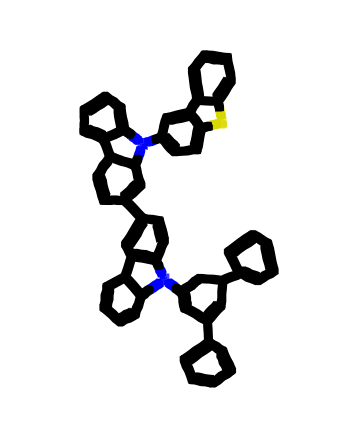 C1=CC2c3cc(C4=CC5C(C=C4)c4ccccc4N5c4ccc5sc6ccccc6c5c4)ccc3N(C3=CC(c4ccccc4)=CC(c4ccccc4)C3)C2C=C1